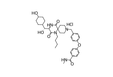 CCCCN1C(=O)[C@@H]([C@H](O)C2CCC(O)CC2)NC(=O)C12CCN(Cc1ccc(Oc3ccc(C(=O)NC)cc3)cc1)CC2.Cl